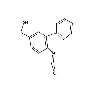 O=C=Nc1ccc(CS)cc1-c1ccccc1